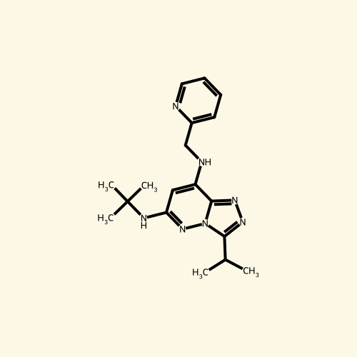 CC(C)c1nnc2c(NCc3ccccn3)cc(NC(C)(C)C)nn12